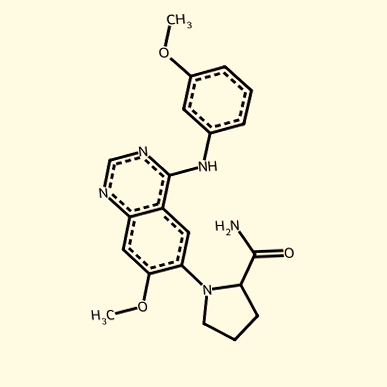 COc1cccc(Nc2ncnc3cc(OC)c(N4CCCC4C(N)=O)cc23)c1